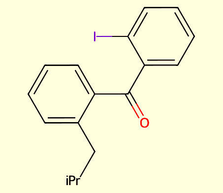 CC(C)Cc1ccccc1C(=O)c1ccccc1I